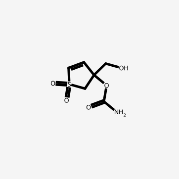 NC(=O)OC1(CO)C=CS(=O)(=O)C1